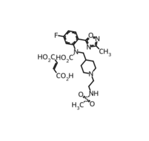 Cc1noc(-c2ccc(F)cc2N(CC2CCN(CCNS(C)(=O)=O)CC2)C(=O)O)n1.O=C(O)C=CC(=O)O